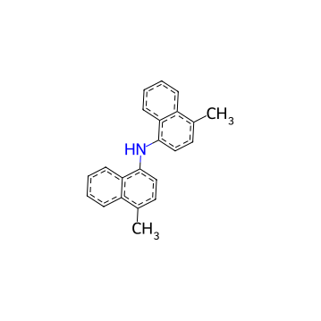 Cc1ccc(Nc2ccc(C)c3ccccc23)c2ccccc12